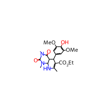 CCOC(=O)C1=C(C)NC2C(C(=O)N(C)C(=O)N2C)C1c1cc(OC)c(O)c(OC)c1